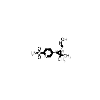 CC1(C)[C@@H](C=NO)[C@@H]1c1ccc(S(N)(=O)=O)nc1